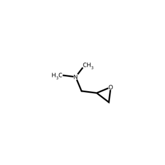 CN(C)CC1CO1